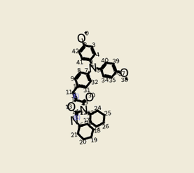 COc1ccc(N(c2ccc(/C=C3/O/C(=N/C4CCCCC4)N(C4CCCCC4)C3=O)cc2)c2ccc(OC)cc2)cc1